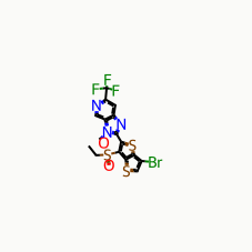 CCS(=O)(=O)c1c(-c2nc3cc(C(F)(F)F)ncc3n2C)sc2c(Br)csc12